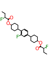 CC[C@H](F)C(=O)OC1CCC(c2ccc(C3CCC(OC(=O)[C@@H](F)CC)CC3)c(F)c2)CC1